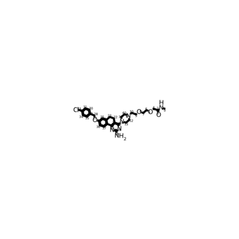 CNC(=O)COCCOCCN1CCN(c2nc(N)nc3c2CCc2cc(OCc4ccc(Cl)cc4)ccc2-3)CC1